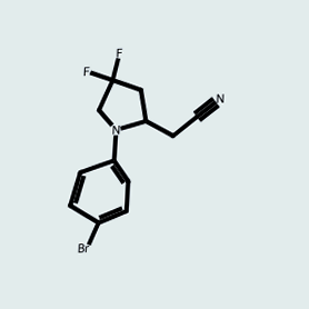 N#CCC1CC(F)(F)CN1c1ccc(Br)cc1